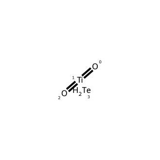 [O]=[Ti]=[O].[TeH2]